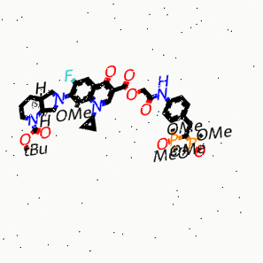 COc1c(N2C[C@@H]3CCCN(C(=O)OC(C)(C)C)[C@@H]3C2)c(F)cc2c(=O)c(C(=O)OCC(=O)Nc3ccc(CC(P(=O)(OC)OC)P(=O)(OC)OC)cc3)cn(C3CC3)c12